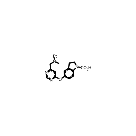 CCN(C)Cc1cc(Oc2ccc3c(c2)CCN3C(=O)O)ncn1